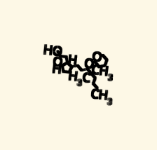 CCCCC(C)(C)[C@@H](CC[C@H]1CC[C@@H]2OC(O)C[C@H]12)OC1CCCCO1